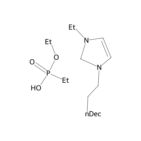 CCCCCCCCCCCCN1C=CN(CC)C1.CCOP(=O)(O)CC